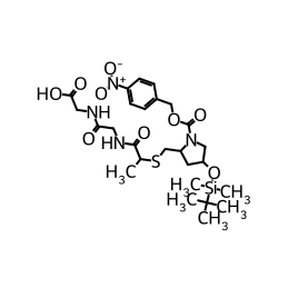 CC(SCC1CC(O[Si](C)(C)C(C)(C)C)CN1C(=O)OCc1ccc([N+](=O)[O-])cc1)C(=O)NCC(=O)NCC(=O)O